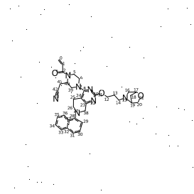 C=CC(=O)N1CCN(c2nc(OCCCN3CC4CC3CO4)nc3c2CCN(c2cccc4ccccc24)C3)CC1CC#N